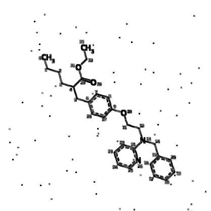 CCCCC(Cc1ccc(OCCN(Cc2ccccc2)c2ccccn2)cc1)C(=O)OCC